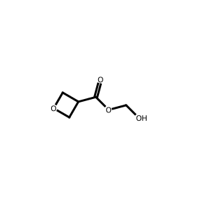 O=C(OCO)C1COC1